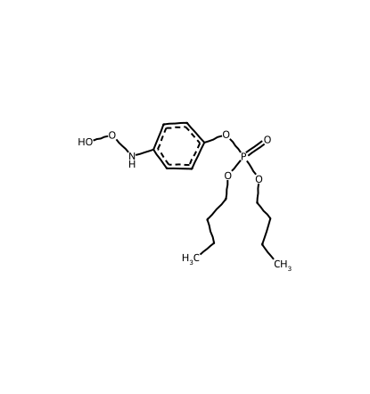 CCCCOP(=O)(OCCCC)Oc1ccc(NOO)cc1